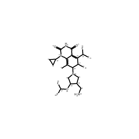 CC1=c2c(c(=O)[nH]c(=O)n2C2CC2)=C(C(F)F)C(F)C1N1CC(CN)C(OC(F)F)C1